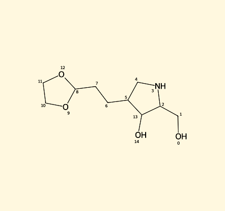 OCC1NCC(CCC2OCCO2)C1O